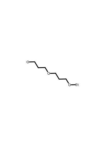 CCOCCCOCCC[O]